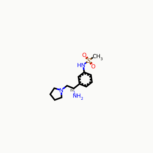 CS(=O)(=O)Nc1cccc([C@H](N)CN2CCCC2)c1